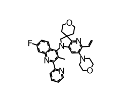 C=Cc1nc2c(cc1N1CCOCC1)N(c1c(C)c(-c3ccccn3)nc3cc(F)ccc13)CC21CCOCC1